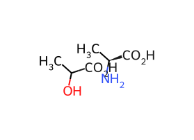 CC(O)C(=O)O.C[C@H](N)C(=O)O